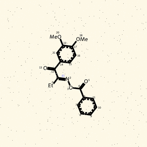 CC/C(=N\OC(=O)c1ccccc1)C(=O)c1ccc(OC)c(OC)c1